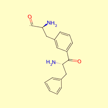 N[C@H]([C]=O)Cc1cccc(C(=O)[C@@H](N)Cc2ccccc2)c1